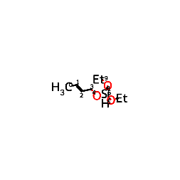 CC=CCO[SiH](OCC)OCC